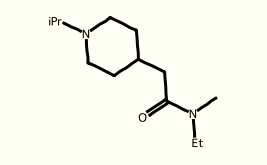 CCN(C)C(=O)CC1CCN(C(C)C)CC1